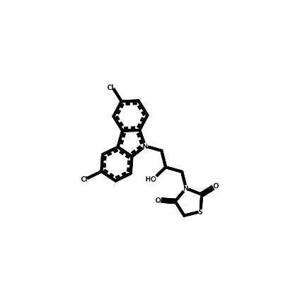 O=C1CSC(=O)N1CC(O)Cn1c2ccc(Cl)cc2c2cc(Cl)ccc21